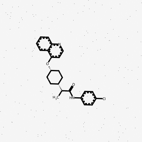 CC(C(=O)Nc1ccc(Cl)cc1)[C@H]1CC[C@@H](Oc2ccnc3ccccc23)CC1